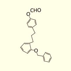 O=COc1ccc(CCCc2ccccc2OCc2ccccc2)cc1